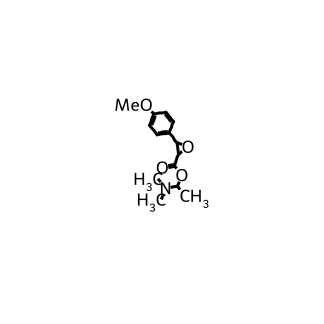 COc1ccc(C2OC2C(=O)OC(C)N(C)C)cc1